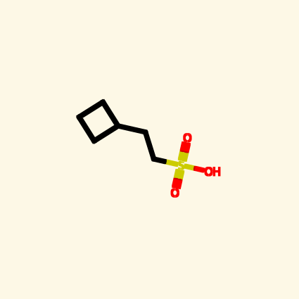 O=S(=O)(O)CCC1CCC1